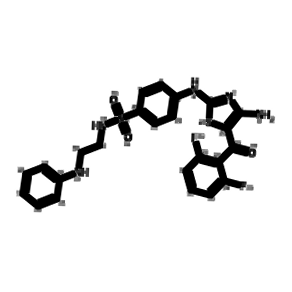 Nc1nc(Nc2ccc(S(=O)(=O)NCCNc3ccccc3)cc2)sc1C(=O)c1c(F)cccc1F